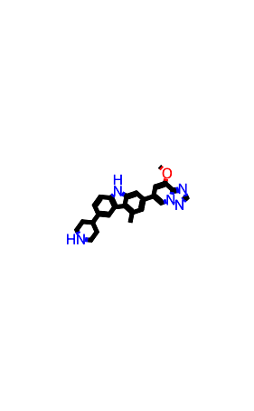 COc1cc(-c2cc(C)c3c(c2)[nH]c2ccc(C4CCNCC4)cc23)cn2ncnc12